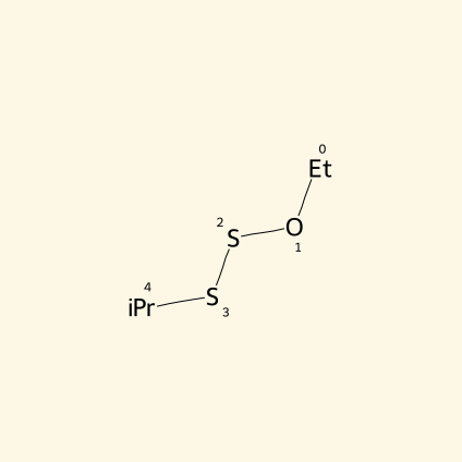 CCOSSC(C)C